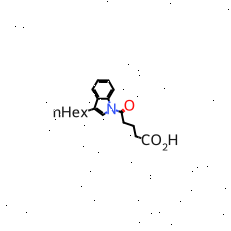 CCCCCCc1cn(C(=O)CCCC(=O)O)c2ccccc12